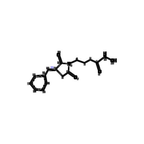 O=C(CCCN1C(=O)C/C(=C\c2ccccc2)C1=O)NO